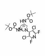 CC(C)(C)OC(=O)N[C@@H]1C[C@H](NC(=O)OC(C)(C)C)CN(c2c(Cl)c(F)nc(F)c2Cl)C1